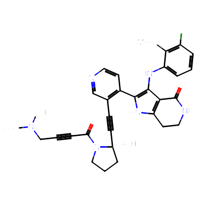 COc1c(Cl)cccc1Nc1c(-c2ccncc2C#C[C@@]2(C)CCCN2C(=O)C#CCN(C)C)[nH]c2c1C(=O)NCC2